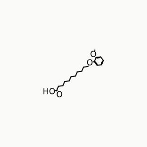 COc1ccccc1OCCCCCCCCCCC(=O)O